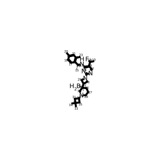 B[C@]1(C2CN(c3ncc(C(C)F)c(N[C@H](C)c4ccc(C)cc4C)n3)C2)CCCN(C2CC(C)(C)C2)C1